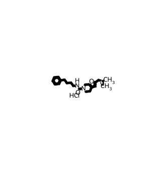 CN(C)Cc1cc2c(o1)CN(C(=O)NCCCCc1ccccc1)CC2.Cl